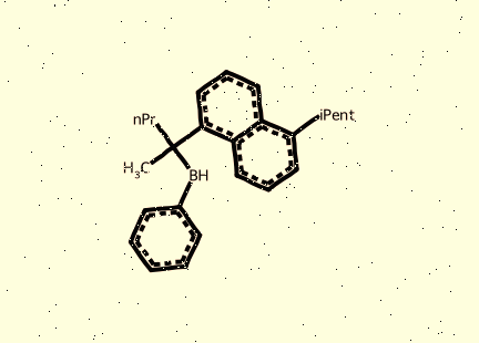 CCCC(C)c1cccc2c(C(C)(Bc3ccccc3)CCC)cccc12